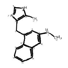 CNc1cc(Cc2nc[nH]c2C)c2ccccc2c1